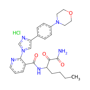 CCCCC(NC(=O)c1cccnc1-n1cnc(-c2ccc(N3CCOCC3)cc2)c1)C(=O)C(N)=O.Cl